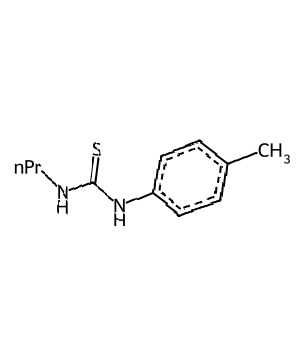 CCCNC(=S)Nc1ccc(C)cc1